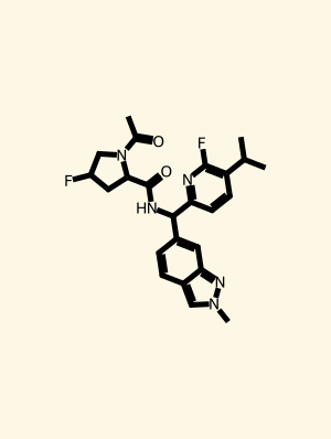 CC(=O)N1CC(F)CC1C(=O)NC(c1ccc2cn(C)nc2c1)c1ccc(C(C)C)c(F)n1